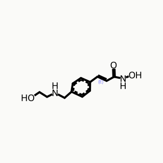 O=C(/C=C/c1ccc(CNCCO)cc1)NO